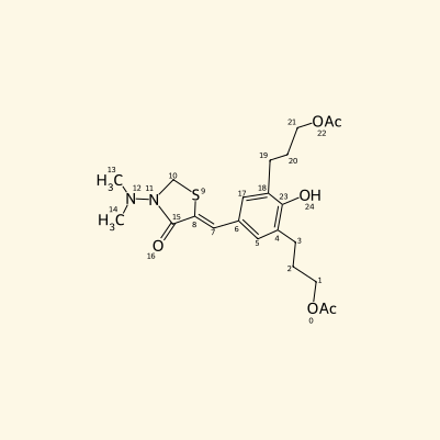 CC(=O)OCCCc1cc(/C=C2\SCN(N(C)C)C2=O)cc(CCCOC(C)=O)c1O